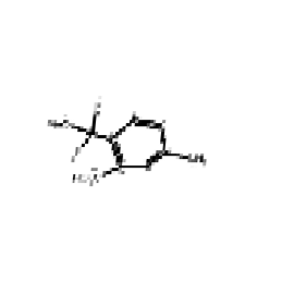 COC(F)(F)c1ccc(N)cc1C(=O)O